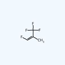 C/C(=C/F)C(F)(F)F